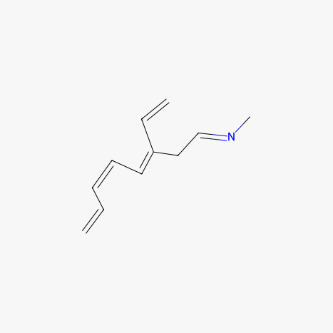 C=C/C=C\C=C(/C=C)C/C=N/C